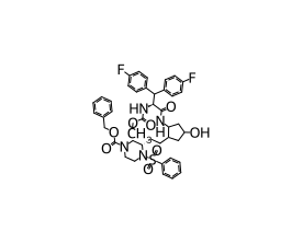 COC(=O)N[C@H](C(=O)NC1CC(O)CC1CC[C@H]1CN(C(=O)OCc2ccccc2)CCN1S(=O)(=O)c1ccccc1)C(c1ccc(F)cc1)c1ccc(F)cc1